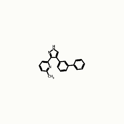 Cc1cccc(-c2n[nH]cc2-c2cccc(-c3ccccc3)c2)n1